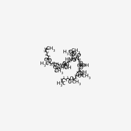 C/C=C\CCCC(=O)O[C@H](C)CCOCC(COP(=O)(O)OCCNC(=O)[C@H]1OC(C)(C)O[C@H]1C(=O)NCCOP(=O)(O)OC[C@@H](COCC[C@@H](C)OC(=O)CCC/C=C\C)NC(C)=O)NC(C)=O